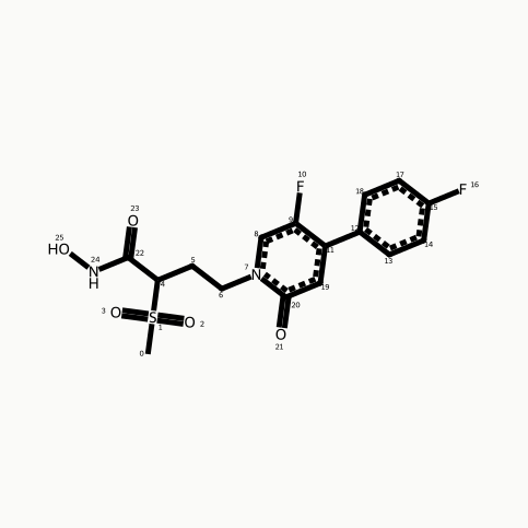 CS(=O)(=O)C(CCn1cc(F)c(-c2ccc(F)cc2)cc1=O)C(=O)NO